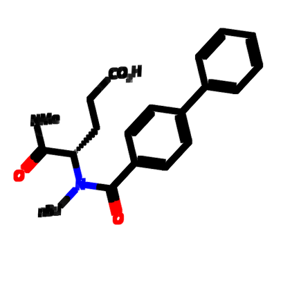 CCCCN(C(=O)c1ccc(-c2ccccc2)cc1)[C@@H](CCC(=O)O)C(=O)NC